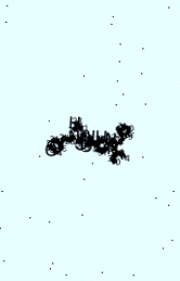 CCC(CC)n1c(CC2CC=CS2)nc2cc(C(=O)N[C@@H](CC(C)C)C(=O)NCCC3CCOCC3)ccc21